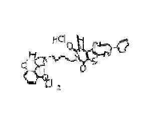 COc1cccc2c1[C@@H]1CN(CCCCn3c(=O)[nH]c4c(sc5nc(-c6ccccc6)cnc54)c3=O)C[C@@H]1CO2.Cl